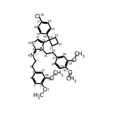 COc1ccc(CC/N=c2/scc(C3(c4ccc(Cl)cc4)CCC3)n2CCc2ccc(OC)c(OC)c2)cc1OC